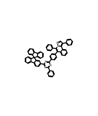 c1ccc(-c2nc(-c3ccc(-c4c(-c5ccccc5)n5ncc(-c6ccccc6)c5c5ccccc45)cc3)nc(-c3ccc4c(c3)C3(c5ccccc5-c5ccccc53)c3ccccc3-4)n2)cc1